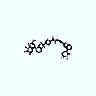 Cc1cc2c(N3CCCc4nc(-c5ccc(C(=O)NCC#Cc6cc7c(C8CCC(=O)NC8=O)cccc7o6)nc5)ncc43)cc(C(C)C)nc2n(C)c1=O